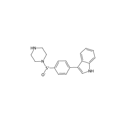 [O-][S+](c1ccc(-c2c[nH]c3ccccc23)cc1)N1CCNCC1